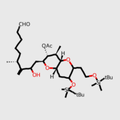 C=C(C(O)C[C@@H]1O[C@H]2CC(O[Si](C)(C)C(C)(C)C)C(CCO[Si](C)(C)C(C)(C)C)O[C@H]2[C@H](C)[C@H]1OC(C)=O)[C@H](C)CCCCC=O